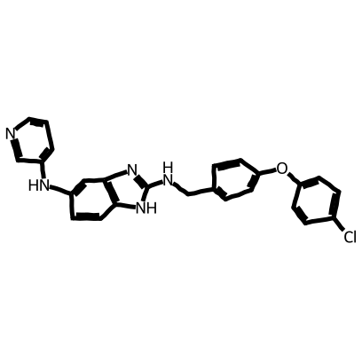 Clc1ccc(Oc2ccc(CNc3nc4cc(Nc5cccnc5)ccc4[nH]3)cc2)cc1